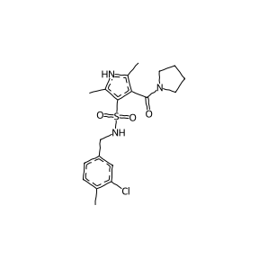 Cc1ccc(CNS(=O)(=O)c2c(C)[nH]c(C)c2C(=O)N2CCCC2)cc1Cl